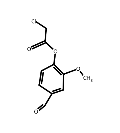 COc1cc(C=O)ccc1OC(=O)CCl